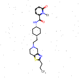 CCn1c(C(=O)N[C@H]2CC[C@H](CCN3CCc4sc(CCC(F)(F)F)nc4C3)CC2)cccc1=O